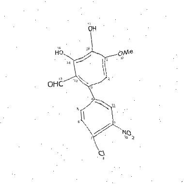 COc1cc(-c2ccc(Cl)c([N+](=O)[O-])c2)c(C=O)c(O)c1O